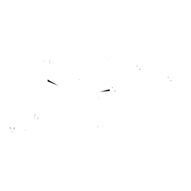 CON=CC1C(O)[C@H](n2cc(C)c(N)nc2=O)O[C@@H]1CO